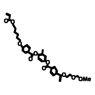 C=CC(=O)OCCCCCCOc1ccc(C(=O)Oc2ccc(OC(=O)c3ccc(C(=C)OCCOCOC)cc3)cc2C)cc1